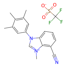 Cc1cc(-n2c[n+](C)c3c(C#N)cccc32)cc(C)c1C.O=S(=O)([O-])C(F)(F)F